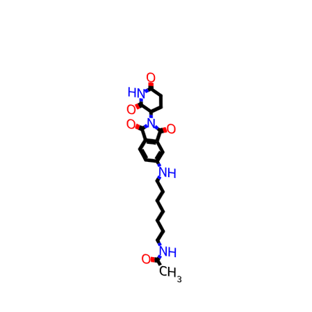 CC(=O)NCCCCCCCNc1ccc2c(c1)C(=O)N(C1CCC(=O)NC1=O)C2=O